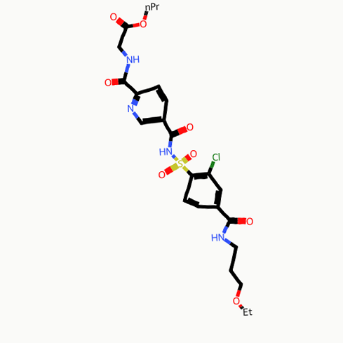 CCCOC(=O)CNC(=O)c1ccc(C(=O)NS(=O)(=O)c2ccc(C(=O)NCCCOCC)cc2Cl)cn1